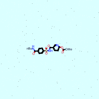 CCCCNC(=O)c1ccc(S(=O)(=O)NC(=O)c2ccc(OC(=O)OC)nc2)cc1